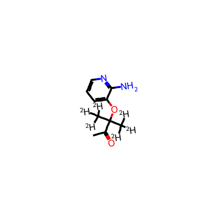 [2H]C([2H])([2H])C(Oc1cccnc1N)(C(C)=O)C([2H])([2H])[2H]